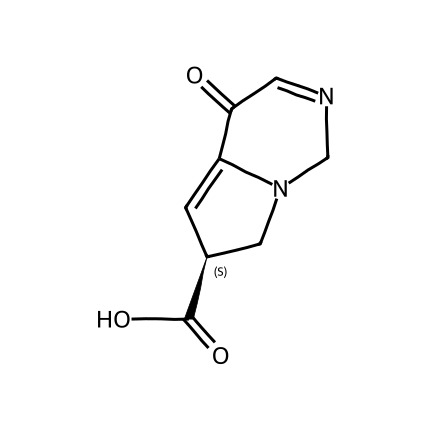 O=C1C=NCN2C[C@@H](C(=O)O)C=C12